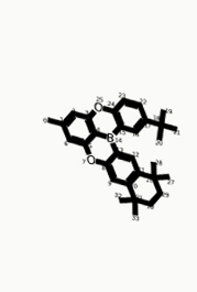 Cc1cc2c3c(c1)Oc1cc4c(cc1B3c1cc(C(C)(C)C)ccc1O2)C(C)(C)CCC4(C)C